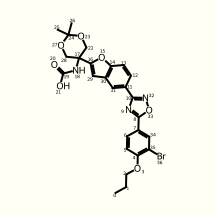 CCCOc1ccc(-c2nc(-c3ccc4oc(C5(NC(=O)O)COC(C)(C)OC5)cc4c3)no2)cc1Br